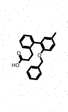 Cc1ccc(OCc2ccccc2)c(-c2ccccc2CCC(=O)O)c1